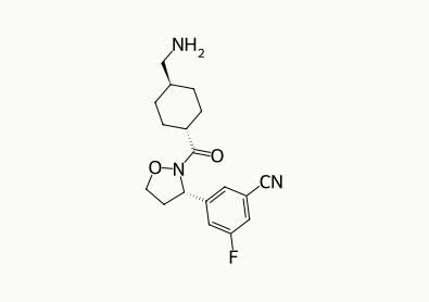 N#Cc1cc(F)cc([C@@H]2CCON2C(=O)[C@H]2CC[C@H](CN)CC2)c1